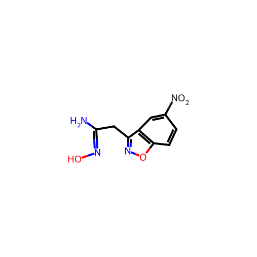 NC(Cc1noc2ccc([N+](=O)[O-])cc12)=NO